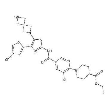 CCOC(=O)C1CCN(c2ncc(C(=O)Nc3nc(-c4cc(Cl)cs4)c(N4CC5(CNC5)C4)s3)cc2Cl)CC1